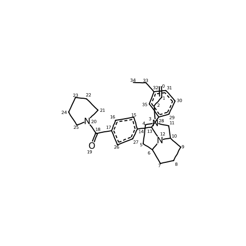 C=CCN1CCC2CCCC(C1)N2C(c1ccc(C(=O)N2CCCCC2)cc1)c1cccc(CC)c1